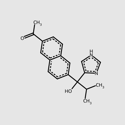 CC(=O)c1ccc2cc(C(O)(c3c[nH]cn3)C(C)C)ccc2c1